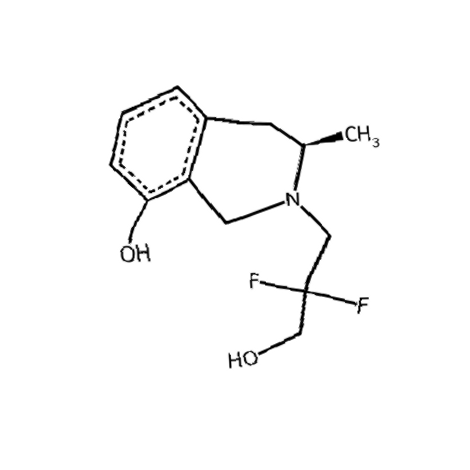 C[C@@H]1Cc2cccc(O)c2CN1CC(F)(F)CO